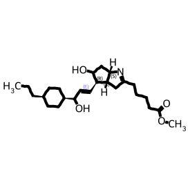 CCC[C@H]1CC[C@@H](C(O)/C=C/[C@H]2C(O)C[C@@H]3N=C(CCCCC(=O)OC)C[C@@H]32)CC1